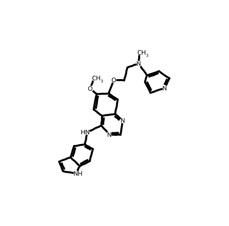 COc1cc2c(Nc3ccc4[nH]ccc4c3)ncnc2cc1OCCN(C)c1ccncc1